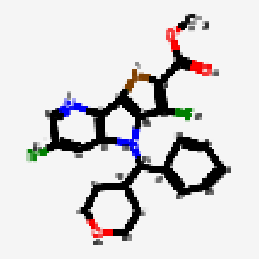 COC(=O)c1sc2c3ncc(Br)cc3n(C(c3ccccc3)C3CCOCC3)c2c1F